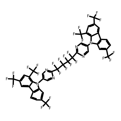 FC(F)(F)c1cc(C(F)(F)F)c2c(c1)c1ccc(C(F)(F)F)cc1n2-c1cnc(C(F)(F)C(F)(F)C(F)(F)C(F)(F)c2ncc(-n3c4cc(C(F)(F)F)ccc4c4cc(C(F)(F)F)cc(C(F)(F)F)c43)cn2)nc1